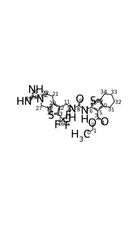 CCOC(=O)c1c(NC(=O)NCc2c(C(F)(F)F)sc3c2CCN(C(=N)N)C3)sc2c1CCCC2